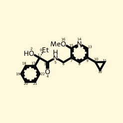 CC[C@](O)(C(=O)NCc1cc(C2CC2)cnc1OC)c1ccccc1